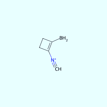 BC1=C([N+]#C)CC1